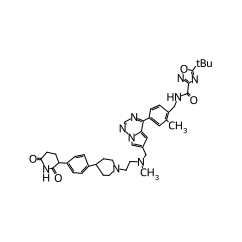 Cc1cc(-c2ncnn3cc(CN(C)CCN4CCC(c5ccc(C6CCC(=O)NC6=O)cc5)CC4)cc23)ccc1CNC(=O)c1noc(C(C)(C)C)n1